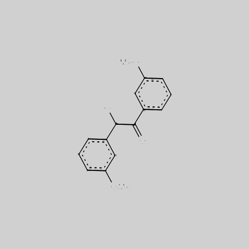 COc1cccc(C(=O)C(O)c2cccc(OC)c2)c1